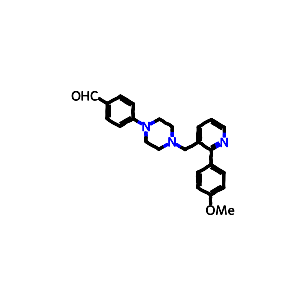 COc1ccc(-c2ncccc2CN2CCN(c3ccc(C=O)cc3)CC2)cc1